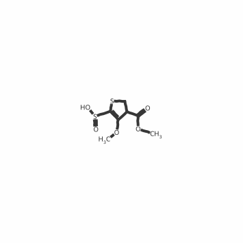 COC(=O)C1CSC(S(=O)O)=C1OC